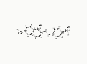 COc1ccc2c(ccc(/C=C/c3ccc(N(C)C)cc3)[n+]2C)c1